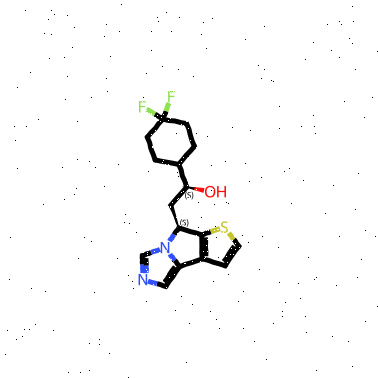 O[C@@H](C[C@H]1c2sccc2-c2cncn21)C1CCC(F)(F)CC1